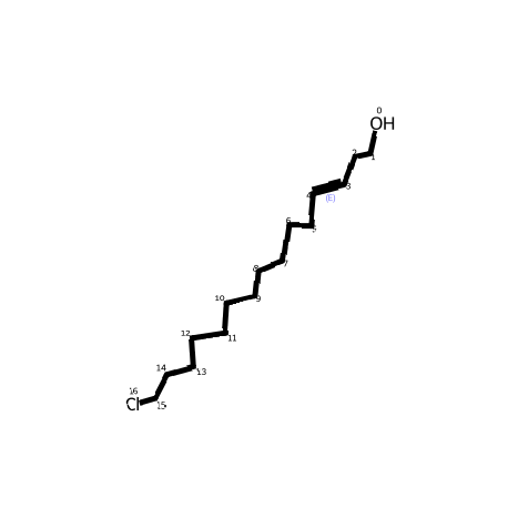 OCC/C=C/CCCCCCCCCCCCl